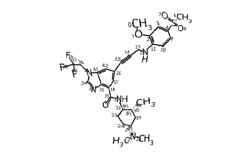 COc1cc(S(C)(=O)=O)ccc1NCC#Cc1cc(C(=O)N[C@@H]2CC[C@@H](N(C)C)C[C@H]2C)c2ncn(CC(F)(F)F)c2c1